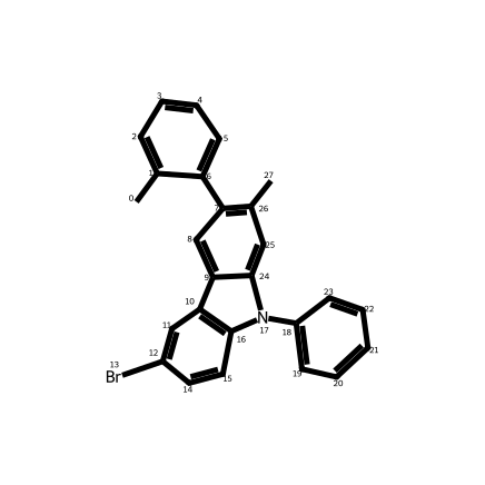 Cc1ccccc1-c1cc2c3cc(Br)ccc3n(-c3ccccc3)c2cc1C